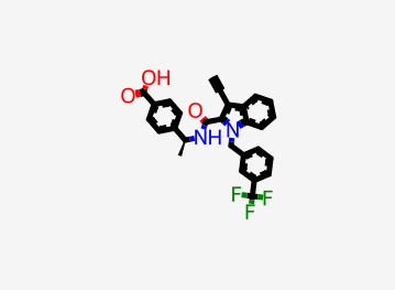 C#Cc1c(C(=O)N[C@@H](C)c2ccc(C(=O)O)cc2)n(Cc2cccc(C(F)(F)F)c2)c2ccccc12